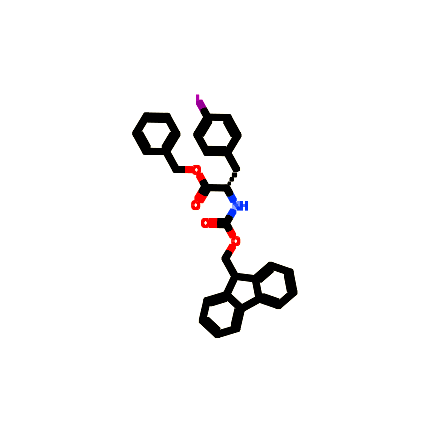 O=C(N[C@@H](Cc1ccc(I)cc1)C(=O)OCc1ccccc1)OCC1c2ccccc2-c2ccccc21